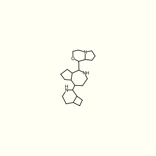 C1CC2C(C3NCCC4CCC43)CCNC(C3OCCN4CCCC34)C2C1